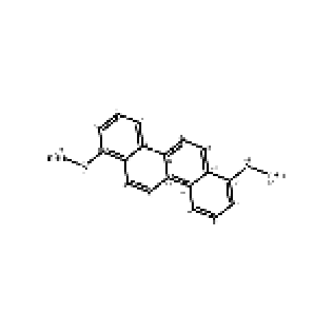 CCCCSc1cccc2c1ccc1c3cccc(SCCCC)c3ccc21